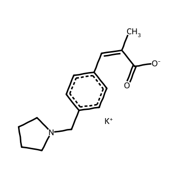 CC(=Cc1ccc(CN2CCCC2)cc1)C(=O)[O-].[K+]